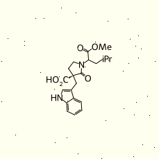 COC(=O)C(CC(C)C)N1CC[C@](Cc2c[nH]c3ccccc23)(C(=O)O)C1=O